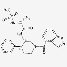 C[C@@H](NS(C)(=O)=O)C(=O)N[C@@H]1CN(C(=O)c2cccn3cncc23)CC[C@H]1c1ccccc1